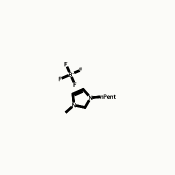 CCCCCN1C=CN(C)C1.F[B-](F)(F)F